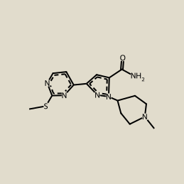 CSc1nccc(-c2cc(C(N)=O)n(C3CCN(C)CC3)n2)n1